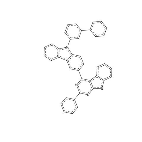 c1ccc(-c2cccc(-n3c4ccccc4c4cc(-c5nc(-c6ccccc6)nc6sc7ccccc7c56)ccc43)c2)cc1